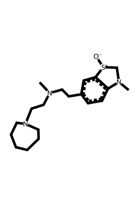 CN(CCc1ccc2c(c1)[S+]([O-])CN2C)CCN1CCCCCC1